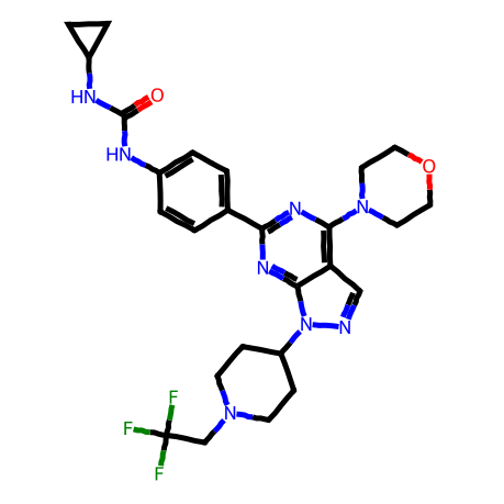 O=C(Nc1ccc(-c2nc(N3CCOCC3)c3cnn(C4CCN(CC(F)(F)F)CC4)c3n2)cc1)NC1CC1